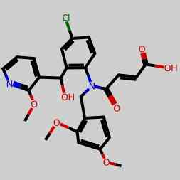 COc1ccc(CN(C(=O)C=CC(=O)O)c2ccc(Cl)cc2C(O)c2cccnc2OC)c(OC)c1